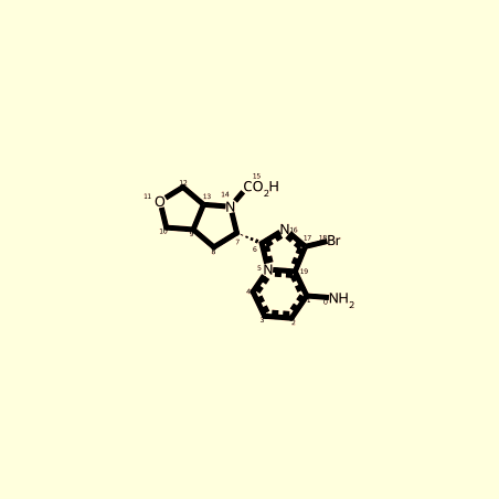 Nc1cccn2c([C@@H]3CC4COCC4N3C(=O)O)nc(Br)c12